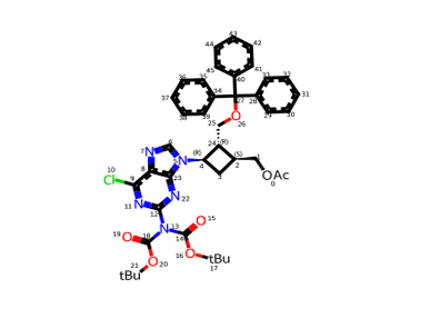 CC(=O)OC[C@H]1C[C@@H](n2cnc3c(Cl)nc(N(C(=O)OC(C)(C)C)C(=O)OC(C)(C)C)nc32)[C@@H]1COC(c1ccccc1)(c1ccccc1)c1ccccc1